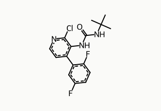 CC(C)(C)NC(=O)Nc1c(-c2cc(F)ccc2F)ccnc1Cl